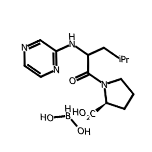 CC(C)CC(Nc1cnccn1)C(=O)N1CCC[C@H]1C(=O)O.OBO